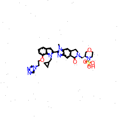 Cn1c(-c2cc3cccc(OCCn4cnnc4)c3n2CC2CC2)nc2cc3c(cc21)CCN(C[C@H]1COCCN1S(=O)(=O)O)C3=O